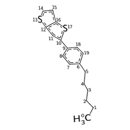 CCCCCCc1ccc(-c2cc3sccc3s2)cc1